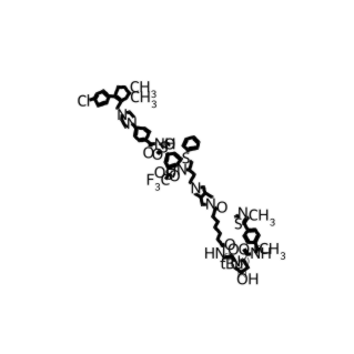 Cc1ncsc1-c1ccc([C@H](C)NC(=O)[C@@H]2C[C@@H](O)CN2C(=O)[C@@H](NC(=O)CCCCCC(=O)N2CC3CN(CCC(CSc4ccccc4)Nc4ccc(S(=O)(=O)NC(=O)c5ccc(N6CCN(CC7=C(c8ccc(Cl)cc8)CCC(C)(C)C7)CC6)cc5)cc4S(=O)(=O)C(F)(F)F)CC3C2)C(C)(C)C)cc1